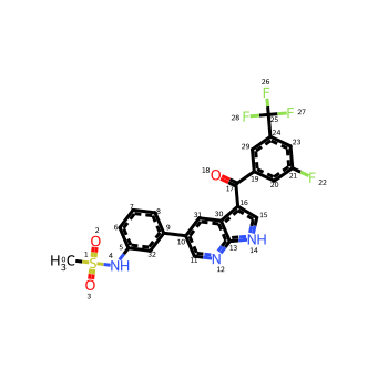 CS(=O)(=O)Nc1cccc(-c2cnc3[nH]cc(C(=O)c4cc(F)cc(C(F)(F)F)c4)c3c2)c1